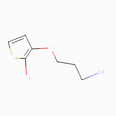 [NH]CCCOc1ccsc1O